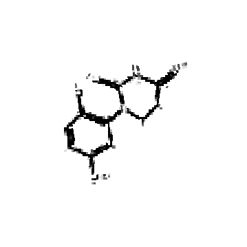 O=Cc1ccc(Cl)c(N2CCC(=O)NC2=O)c1